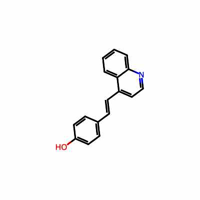 Oc1ccc(C=Cc2ccnc3ccccc23)cc1